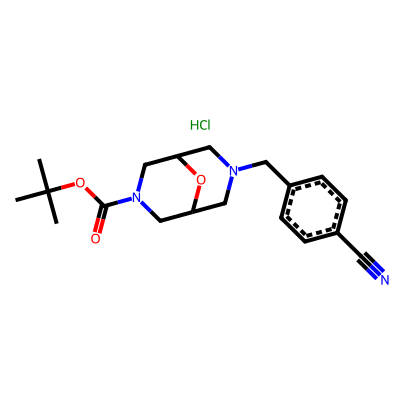 CC(C)(C)OC(=O)N1CC2CN(Cc3ccc(C#N)cc3)CC(C1)O2.Cl